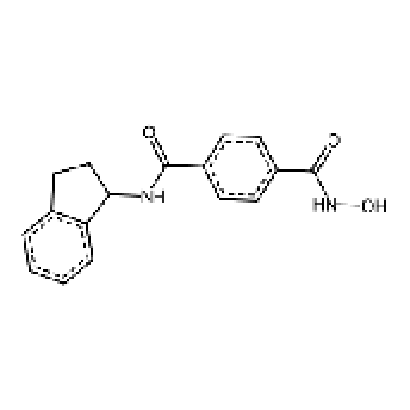 O=C(NO)c1ccc(C(=O)NC2CCc3ccccc32)cc1